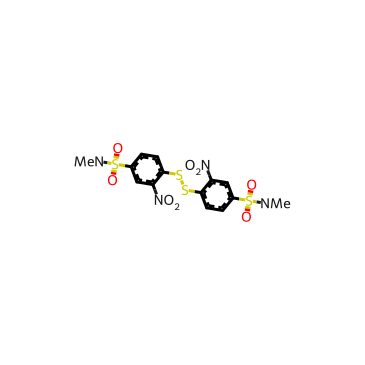 CNS(=O)(=O)c1ccc(SSc2ccc(S(=O)(=O)NC)cc2[N+](=O)[O-])c([N+](=O)[O-])c1